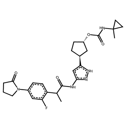 CC(C(=O)Nc1cc([C@H]2CC[C@H](OC(=O)NC3(C)CC3)C2)[nH]n1)c1ccc(N2CCCC2=O)cc1F